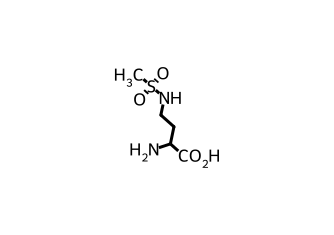 CS(=O)(=O)NCCC(N)C(=O)O